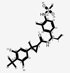 CC[C@@H](NC(=O)C1CC1(C)c1cc(F)c(C(C)(C)C)c(F)c1)c1ccc(NS(C)(=O)=O)c(C)c1